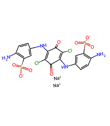 Nc1ccc(NC2=C(Cl)C(=O)C(Nc3ccc(N)c(S(=O)(=O)[O-])c3)=C(Cl)C2=O)cc1S(=O)(=O)[O-].[Na+].[Na+]